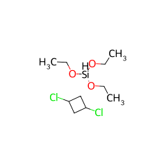 CCO[SiH](OCC)OCC.ClC1CC(Cl)C1